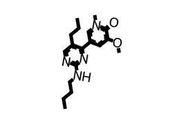 CCCCNc1ncc(CCC)c(-c2cc(OC)c(=O)n(C)c2)n1